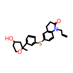 C=CCN1C(=O)CCc2cc(Sc3cccc(C4(C)CC(O)CCO4)c3)ccc21